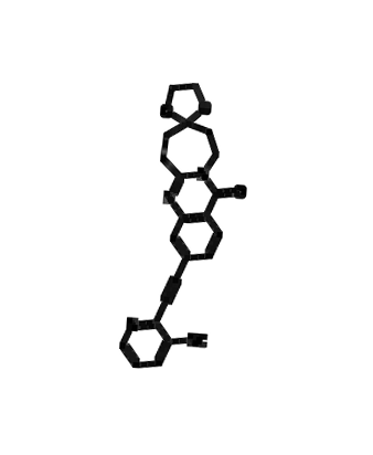 [C-]#[N+]c1cccnc1C#Cc1ccc2c(=O)n3c(nc2c1)CCC1(CC3)OCCO1